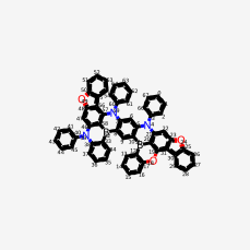 c1ccc(N2c3cc4c(cc3B3c5ccccc5Oc5c3c2cc2oc3ccccc3c52)B2c3ccccc3N(c3ccccc3)c3cc5oc6ccccc6c5c(c32)N4c2ccccc2)cc1